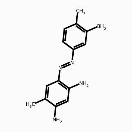 Bc1cc(/N=N/c2cc(C)c(N)cc2N)ccc1C